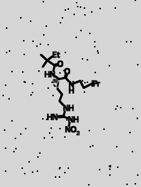 CCC(C)(C)C(=O)N[C@@H](CCCNC(=N)N[N+](=O)[O-])C(=O)N[CH]CC(C)C